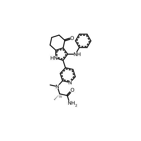 C[C@@H](C(N)=O)N(C)c1cc(-c2[nH]c3c(c2Nc2ccccc2)C(=O)CCC3)ccn1